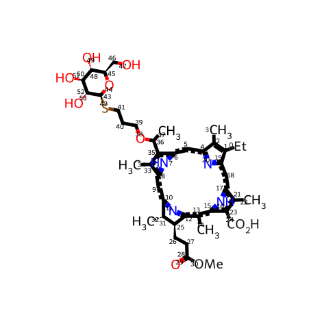 CCC1=C(C)c2cc3[nH]c(cc4nc(c(C)c5[nH]c(cc1n2)c(C)c5C(=O)O)[C@@H](CCC(=O)OC)[C@@H]4C)c(C)c3C(C)OCCCS[C@@H]1O[C@H](CO)[C@@H](O)[C@H](O)[C@H]1O